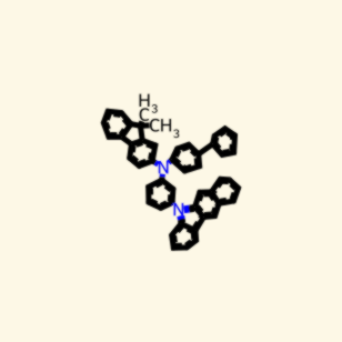 CC1(C)c2ccccc2-c2ccc(N(c3ccc(-c4ccccc4)cc3)c3cccc(-n4c5ccccc5c5cc6ccccc6cc54)c3)cc21